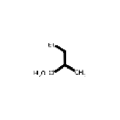 CCCC(C)Cl.O